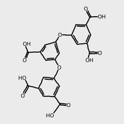 O=C(O)c1cc(Oc2cc(C(=O)O)cc(C(=O)O)c2)cc(Oc2cc(C(=O)O)cc(C(=O)O)c2)c1